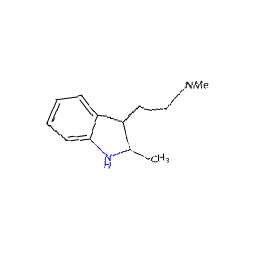 CNCCC1c2ccccc2NC1C